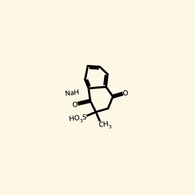 CC1(S(=O)(=O)O)CC(=O)c2ccccc2C1=O.[NaH]